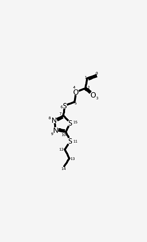 C=CC(=O)OCSc1nnc(SCCC)s1